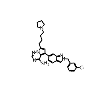 Nc1ncnn2c(CCCCN3CCCC3)cc(-c3ccc4cn(Cc5cccc(Cl)c5)nc4c3)c12